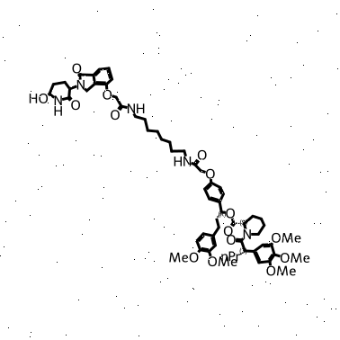 CCC[C@H](C(=O)N1CCCC[C@H]1C(=O)O[C@H](CCc1ccc(OC)c(OC)c1)c1ccc(OCC(=O)NCCCCCCCCNC(=O)COc2cccc3c2CN(C2CCC(O)NC2=O)C3=O)cc1)c1cc(OC)c(OC)c(OC)c1